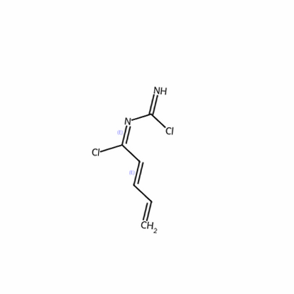 C=C/C=C/C(Cl)=N\C(=N)Cl